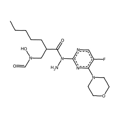 CCCCCC(CN(O)C=O)C(=O)N(N)c1ncc(F)c(N2CCOCC2)n1